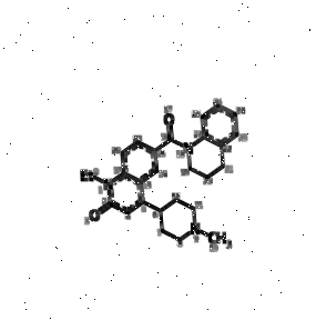 CCn1c(=O)cc(C2CCN(C)CC2)c2cc(C(=O)N3CCCc4ccccc43)ccc21